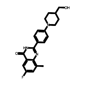 Cc1cc(F)cc2c(=O)[nH]c(-c3ccc(N4CCC(CO)CC4)cc3)nc12